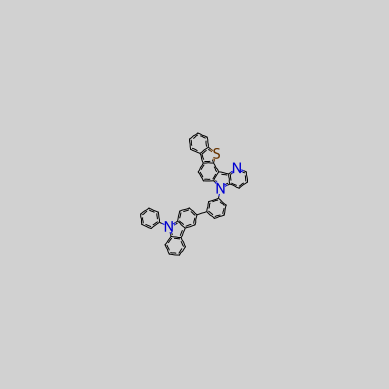 c1ccc(-n2c3ccccc3c3cc(-c4cccc(-n5c6cccnc6c6c7sc8ccccc8c7ccc65)c4)ccc32)cc1